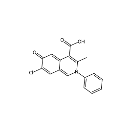 Cc1c(C(=O)O)c2cc(=O)c(Cl)cc-2cn1-c1ccccc1